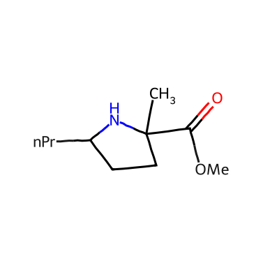 CCCC1CCC(C)(C(=O)OC)N1